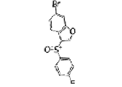 [O-][S+](c1ccc(F)cc1)c1coc2cc(Br)ccc12